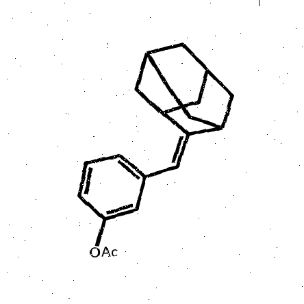 CC(=O)Oc1cccc(C=C2C3CC4CC(C3)CC2C4)c1